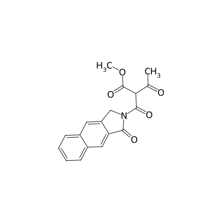 COC(=O)C(C(C)=O)C(=O)N1Cc2cc3ccccc3cc2C1=O